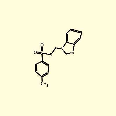 Cc1ccc(S(=O)(=O)SCN2CSc3ccccc32)cc1